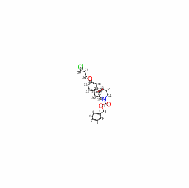 O=C(OCc1ccccc1)N1CCC23CCCCC2C1Cc1ccc(OCCCCl)cc13